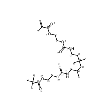 C=C(C)C(=O)OCCOC(=O)NCCC(C)(C)CC(C)CNC(=O)OCCOC(=O)C(C)(C)C